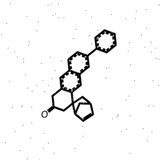 O=C1Cc2cc3ccc(-c4ccccc4)cc3cc2C2(C1)CC1C=CC2C1